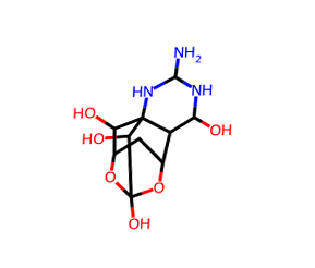 NC1NC(O)C2C3CC4OC(O)(O3)C(O)C2(N1)C4O